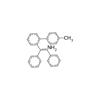 Cc1ccc(-c2ccccc2C(=C(N)c2ccccc2)c2ccccc2)cc1